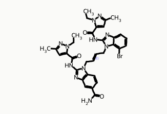 CCn1nc(C)cc1C(=O)Nc1nc2cc(C(N)=O)ccc2n1C/C=C/Cn1c(NC(=O)c2cc(C)nn2CC)nc2cccc(Br)c21